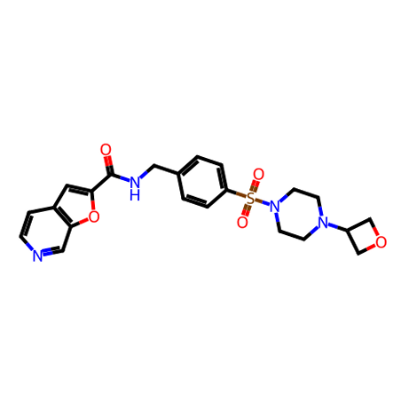 O=C(NCc1ccc(S(=O)(=O)N2CCN(C3COC3)CC2)cc1)c1cc2ccncc2o1